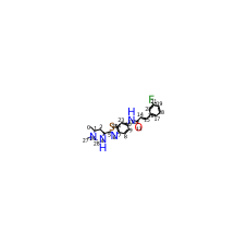 CC(CC(=N)c1nc2ccc(NC(=O)C=Cc3cccc(F)c3)cc2s1)N(C)C